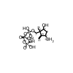 BC1CC(O)C(I)(COP(=O)(O)OP(=O)(O)OP(=O)(O)O)C1=C